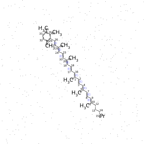 CC(/C=C/C=C(C)/C=C/C=C(\C)CCCC(C)C)=C\C=C\C=C(C)\C=C\C=C(C)\C=C\c1c(C)ccc(C)c1C